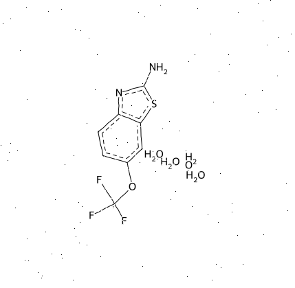 Nc1nc2ccc(OC(F)(F)F)cc2s1.O.O.O.O